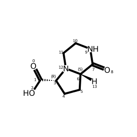 O=C(O)[C@H]1CC[C@H]2C(=O)NCCN12